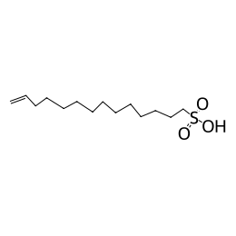 C=CCCCCCCCCCCCCS(=O)(=O)O